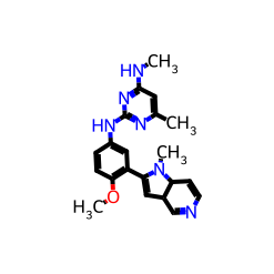 CNc1cc(C)nc(Nc2ccc(OC)c(C3=CC4C=NC=CC4N3C)c2)n1